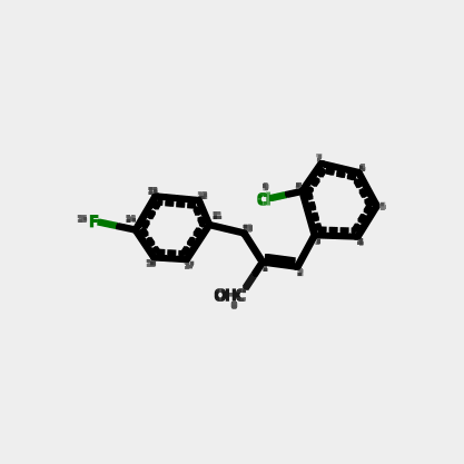 O=C/C(=C/c1ccccc1Cl)Cc1ccc(F)cc1